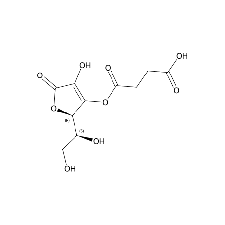 O=C(O)CCC(=O)OC1=C(O)C(=O)O[C@@H]1[C@@H](O)CO